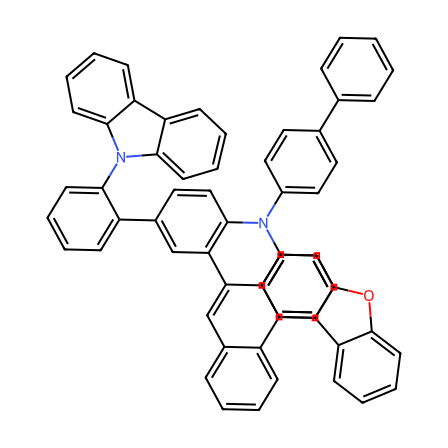 c1ccc(-c2ccc(N(c3ccc4c(c3)oc3ccccc34)c3ccc(-c4ccccc4-n4c5ccccc5c5ccccc54)cc3-c3cc4ccccc4c4ccccc34)cc2)cc1